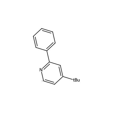 CC(C)(C)c1c[c]nc(-c2ccccc2)c1